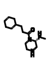 CP[C@@H]1CNCCN1C(=O)CCC1CCCCC1